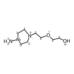 NN1CCN(CCOCCO)CC1